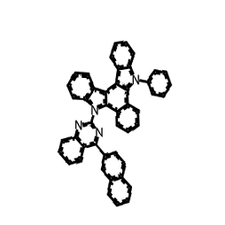 c1ccc(-n2c3ccccc3c3c4c5ccccc5n(-c5nc(-c6ccc7ccccc7c6)c6ccccc6n5)c4c4ccccc4c32)cc1